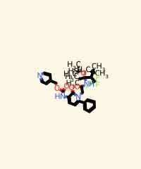 CC(C)C(NC(=O)Cn1c(-c2ccccc2)ccc(NC(=O)OCc2ccncc2)c1=O)(O[SiH](C)C)C(C(C)(C)C)C(F)(F)F